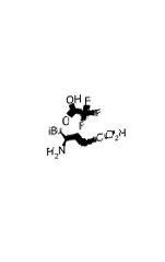 CC[C@H](C)[C@H](N)/C=C/C(=O)O.O=C(O)C(F)(F)F